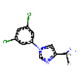 C[C@H](N)c1cn(-c2cc(Cl)cc(Cl)c2)cn1